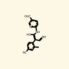 Cc1cc(C#N)ccc1/C(C=N)=C(\O)Nc1ccc(C=O)cn1